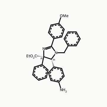 CCOC(=O)[C@]1(c2ccccc2)N=C(c2ccc(OC)cc2)N(Cc2ccccc2)[C@@H]1c1ccc(N)cc1